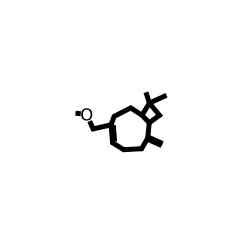 C=C1CCC=C(COC)CCC2C1CC2(C)C